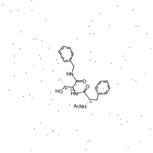 CC(=O)N[C@@H](Cc1ccccc1)C(=O)N[C@H](C(=O)NCc1ccccc1)[C@@H](C)O